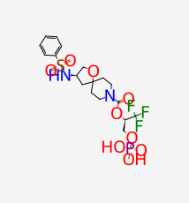 O=C(O[C@H](COP(=O)(O)O)C(F)(F)F)N1CCC2(CC1)C[C@@H](NS(=O)(=O)c1ccccc1)CO2